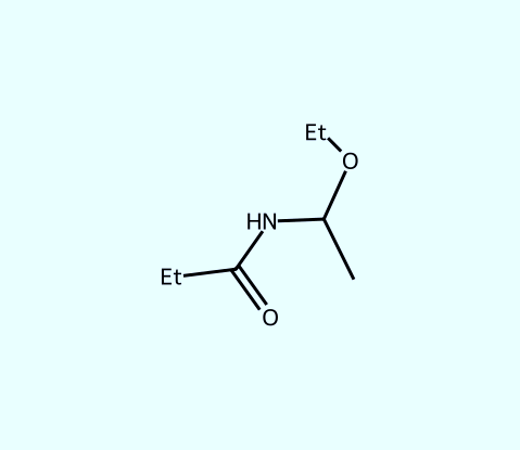 CCOC(C)NC(=O)CC